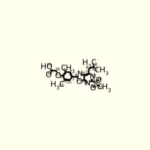 Cc1cc(-c2nc3c(CC(C)C)nc(S(C)(=O)=O)nc3o2)cc(C)c1OCC(=O)O